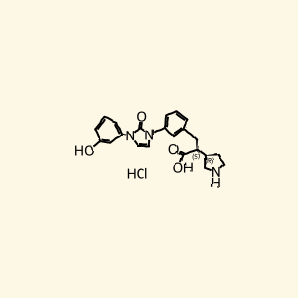 Cl.O=C(O)[C@@H](Cc1cccc(-n2ccn(-c3cccc(O)c3)c2=O)c1)[C@H]1CCNC1